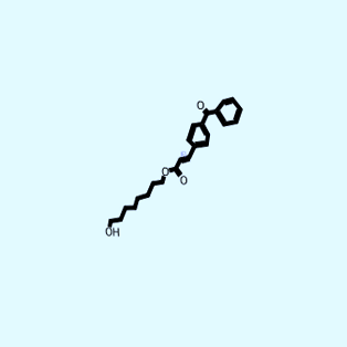 O=C(/C=C/c1ccc(C(=O)c2ccccc2)cc1)OCCCCCCCCO